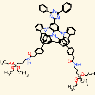 CCO[Si](C)(CCCNC(=O)Cc1ccc(-c2ccc3c(c2)c2cc(-c4ccc(CC(=O)NCCC[Si](OCC)(OCC)OCC)cc4)ccc2n3-c2c(-n3c4ccccc4c4ccccc43)cc(-c3nc(-c4ccccc4)nc(-c4ccccc4)n3)cc2-n2c3ccccc3c3ccccc32)cc1)OCC